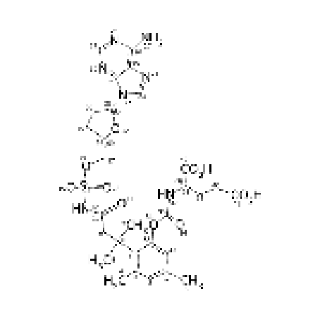 Cc1cc(C)c(C(C)(C)CC(=O)NS(=O)(=O)OC[C@@H]2CC[C@H](n3cnc4c(N)ncnc43)O2)c(OC(=O)N[C@@H](CCC(=O)O)C(=O)O)c1